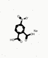 O=C(O)c1ccc([N+](=O)[O-])cc1C(=O)O.[Na]